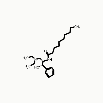 CCCCCCCCCC(=O)N[C@H](CN(CC)CC)[C@@H](O)c1ccccc1